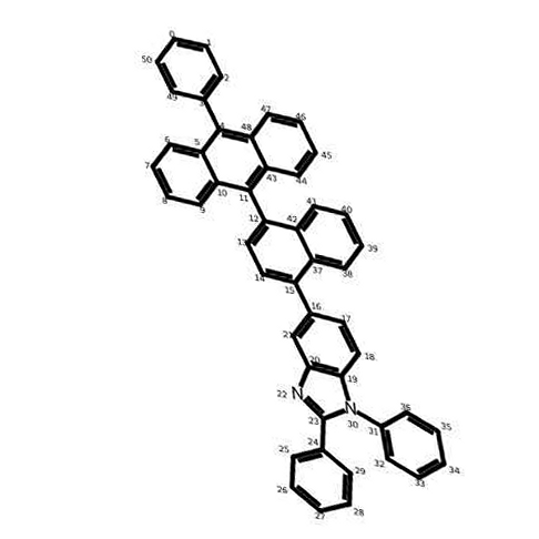 c1ccc(-c2c3ccccc3c(-c3ccc(-c4ccc5c(c4)nc(-c4ccccc4)n5-c4ccccc4)c4ccccc34)c3ccccc23)cc1